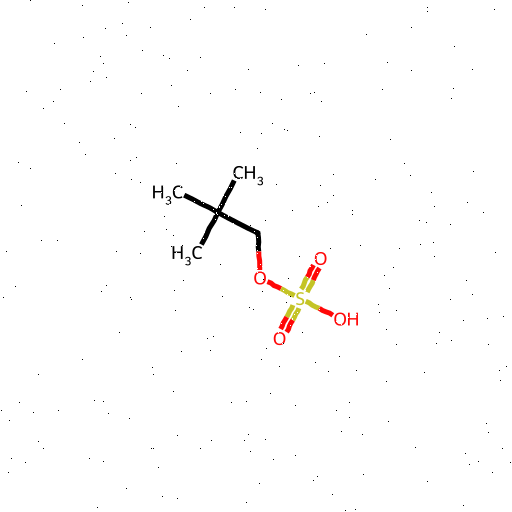 CC(C)(C)COS(=O)(=O)O